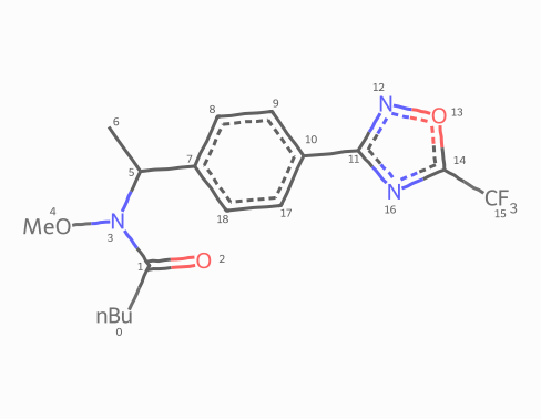 CCCCC(=O)N(OC)C(C)c1ccc(-c2noc(C(F)(F)F)n2)cc1